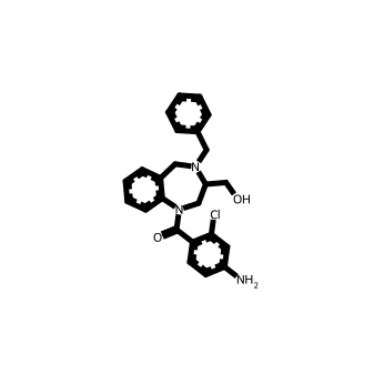 Nc1ccc(C(=O)N2CC(CO)N(Cc3ccccc3)Cc3ccccc32)c(Cl)c1